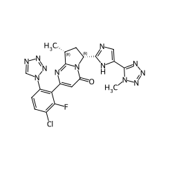 C[C@@H]1C[C@H](c2ncc(-c3nnnn3C)[nH]2)n2c1nc(-c1c(-n3cnnn3)ccc(Cl)c1F)cc2=O